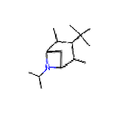 CC1C2CC(C(C)C1C(C)(C)C)N2C(C)C